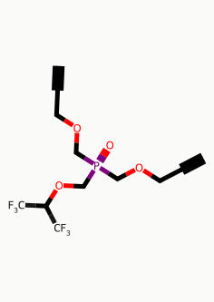 C#CCOCP(=O)(COCC#C)COC(C(F)(F)F)C(F)(F)F